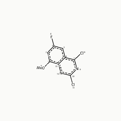 COc1cc(F)cc2c(Cl)nc(Cl)nc12